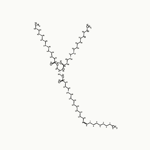 CCCCCCCC/C=C\CCCCCCCCCCCCCC(=O)OC[C@H](COC(=O)CCCCCCCCCCCCC)OC(=O)CCCCCCCCCCCCCC